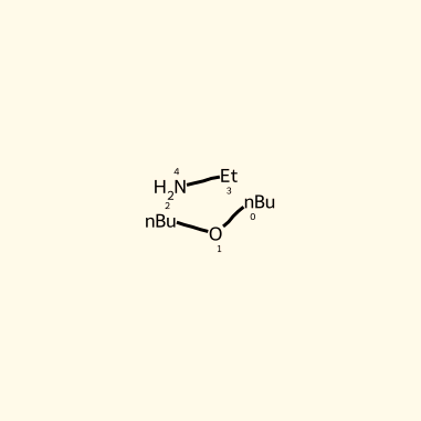 CCCCOCCCC.CCN